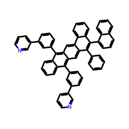 c1ccc(-c2c(-c3cccc4ccccc34)c3ccccc3c3cc4c(-c5cccc(-c6cccnc6)c5)c5ccccc5c(-c5cccc(-c6cccnc6)c5)c4cc23)cc1